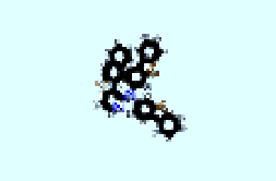 c1ccc2cc3c(cc2c1)sc1ccnc(N(c2ccc4c(c2)sc2ccccc24)c2ccc4c(c2)sc2ccccc24)c13